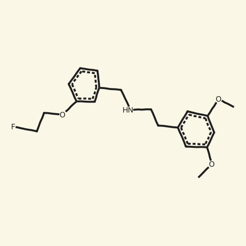 COc1cc(CCNCc2cccc(OCCF)c2)cc(OC)c1